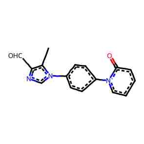 Cc1c(C=O)ncn1-c1ccc(-n2ccccc2=O)cc1